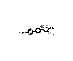 CCCCCCCCc1cnc(-c2ccc(CCC(C)C(C#N)C(=O)O)cc2)cn1